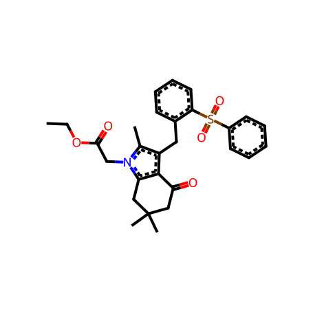 CCOC(=O)Cn1c(C)c(Cc2ccccc2S(=O)(=O)c2ccccc2)c2c1CC(C)(C)CC2=O